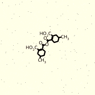 CC1CCC(C(=O)OC(=O)C2=C(C(=O)O)CC(C)CC2)=C(C(=O)O)C1